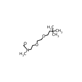 CN(C=O)CCOCCOCCC(C)(C)C